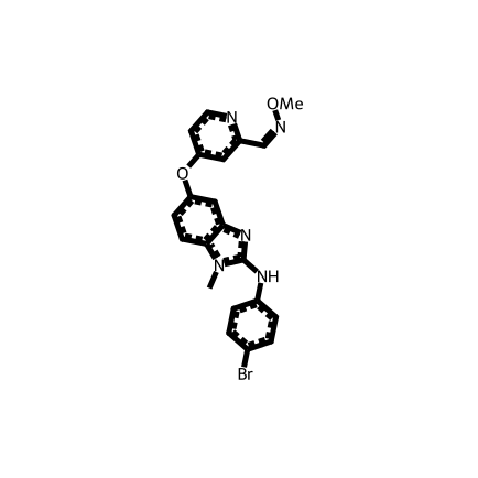 CO/N=C\c1cc(Oc2ccc3c(c2)nc(Nc2ccc(Br)cc2)n3C)ccn1